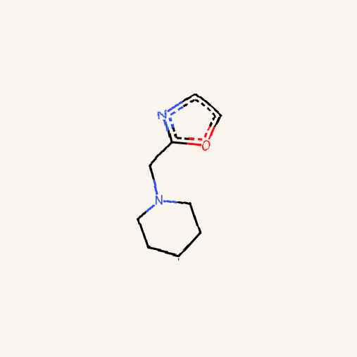 [CH]1CCN(Cc2ncco2)CC1